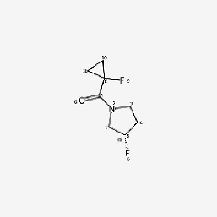 O=C(N1CC[C@H](F)C1)C1(F)CC1